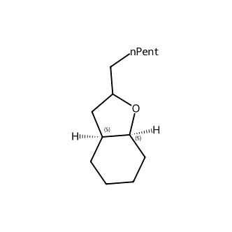 CCCCCCC1C[C@@H]2CCCC[C@@H]2O1